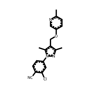 Cc1ccc(OCc2c(C)nn(-c3ccc(C#N)c(Cl)c3)c2C)cn1